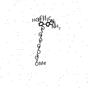 COCCOCCOCCOCCOCCOCCOc1ccc(B(C)O)cc1-c1ccc2c(N)nnc(C)c2c1